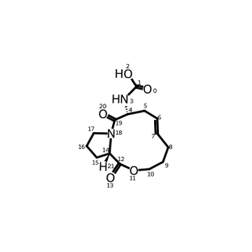 O=C(O)N[C@@H]1C/C=C/CCCOC(=O)[C@@H]2CCCN2C1=O